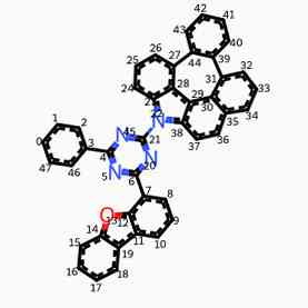 c1ccc(-c2nc(-c3cccc4c3oc3ccccc34)nc(-n3c4cccc5c4c4c6c(cccc6ccc43)-c3ccccc3-5)n2)cc1